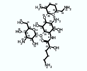 NCCC[C@H](O)C(=O)NC1[C@H](O[C@H]2OC(CO)[C@@H](O)[C@H](N)C2O)C(O)C(O[C@H]2O[C@H](CN)CCC2N)[C@@H](N)[C@H]1O